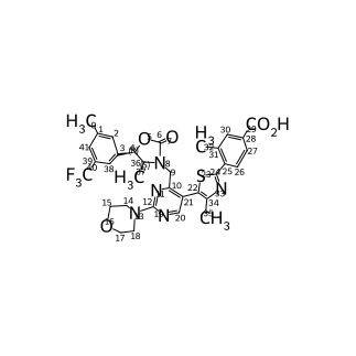 Cc1cc([C@H]2OC(=O)N(Cc3nc(N4CCOCC4)ncc3-c3sc(-c4ccc(C(=O)O)cc4C)nc3C)[C@H]2C)cc(C(F)(F)F)c1